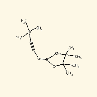 CC1(C)OB(OC#C[Si](C)(C)C)OC1(C)C